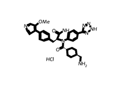 COc1cnccc1-c1ccc(C[C@@H](C(N)=O)N(c2ccc(-c3nn[nH]n3)cc2)C(=O)[C@H]2CC[C@H](CN)CC2)cc1.Cl